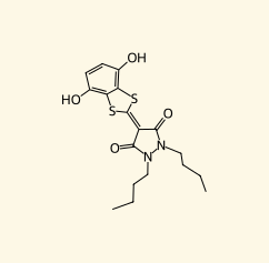 CCCCN1C(=O)C(=C2Sc3c(O)ccc(O)c3S2)C(=O)N1CCCC